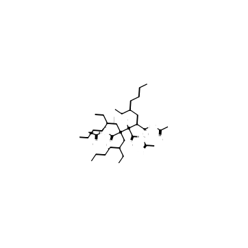 CCCCC(CC)CC(C(=O)OC(C)=O)C(O)(C(=O)OC(C)=O)C(CC(CC)CCCC)(CC(CC)CCCC)C(=O)OC(C)=O